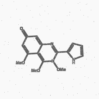 COc1cc(=O)cc2nc(-c3ccc[nH]3)n(OC)c(OC)c1-2